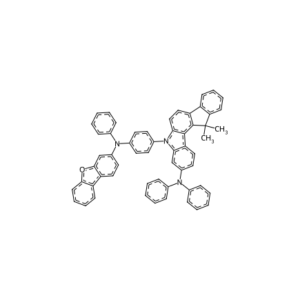 CC1(C)c2ccccc2-c2ccc3c(c21)c1ccc(N(c2ccccc2)c2ccccc2)cc1n3-c1ccc(N(c2ccccc2)c2ccc3c(c2)oc2ccccc23)cc1